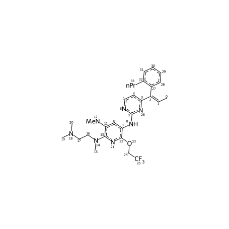 C/C=C(/c1ccnc(Nc2cc(NC)c(N(C)CCN(C)C)nc2OCC(F)(F)F)n1)c1ccccc1CCC